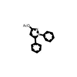 CC(=O)Oc1cc(-c2ccccc2)n(-c2ccccc2)n1